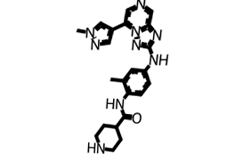 Cc1cc(Nc2nc3cncc(-c4cnn(C)c4)n3n2)ccc1NC(=O)C1CCNCC1